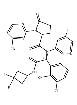 N#Cc1ccnc(N2C(=O)CCC2C(=O)N(c2cncc(F)c2)[C@H](C(=O)NC2CC(F)(F)C2)c2cccc(Cl)c2Cl)c1